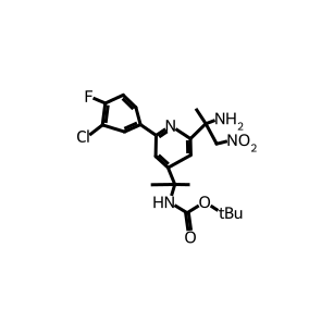 CC(C)(C)OC(=O)NC(C)(C)c1cc(-c2ccc(F)c(Cl)c2)nc(C(C)(N)C[N+](=O)[O-])c1